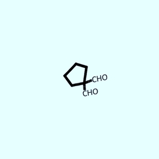 O=CC1(C=O)CCCC1